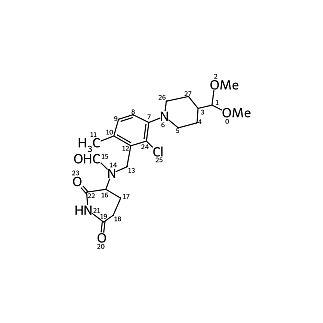 COC(OC)C1CCN(c2ccc(C)c(CN(C=O)C3CCC(=O)NC3=O)c2Cl)CC1